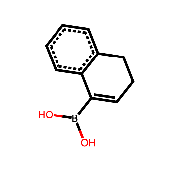 OB(O)C1=CCCc2ccccc21